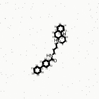 O=C(NCCCCN1CCC[C@H]2c3ccccc3CC[C@@H]21)c1ccc(-c2ccccc2)cc1